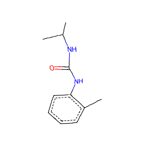 Cc1ccccc1NC(=O)NC(C)C